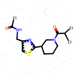 CCC(=O)NCc1csc(C2CCCN(C(=O)C(CC)CC)C2)n1